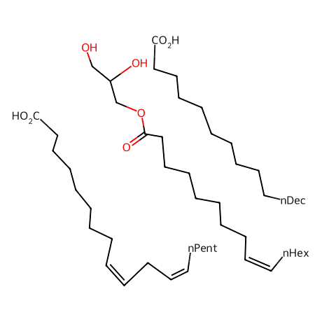 CCCCC/C=C\C/C=C\CCCCCCCC(=O)O.CCCCCC/C=C\CCCCCCCC(=O)OCC(O)CO.CCCCCCCCCCCCCCCCCCCC(=O)O